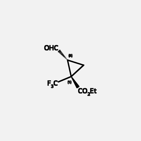 CCOC(=O)[C@]1(C(F)(F)F)C[C@H]1C=O